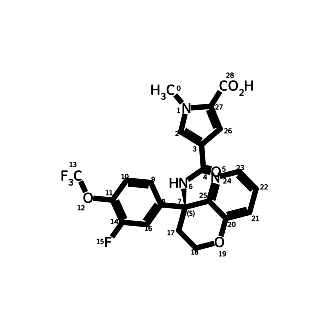 Cn1cc(C(=O)N[C@]2(c3ccc(OC(F)(F)F)c(F)c3)CCOc3cccnc32)cc1C(=O)O